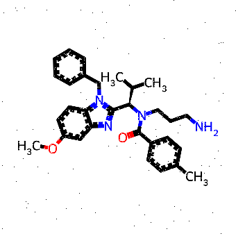 COc1ccc2c(c1)nc([C@@H](C(C)C)N(CCCN)C(=O)c1ccc(C)cc1)n2Cc1ccccc1